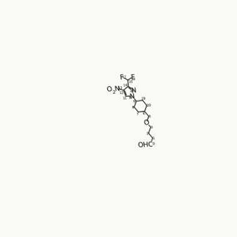 O=CCCCOCC1CCC(n2cc([N+](=O)[O-])c(C(F)F)n2)CC1